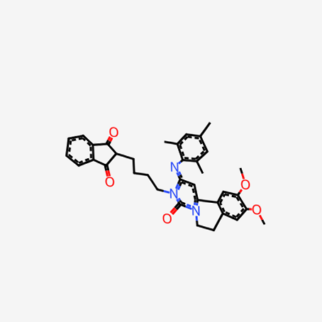 COc1cc2c(cc1OC)-c1c/c(=N\c3c(C)cc(C)cc3C)n(CCCCC3C(=O)c4ccccc4C3=O)c(=O)n1CC2